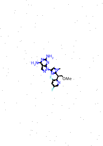 COCC(c1ncc(F)cc1F)c1nc(-n2ncc3c(N)nc(N)nc32)cn1C